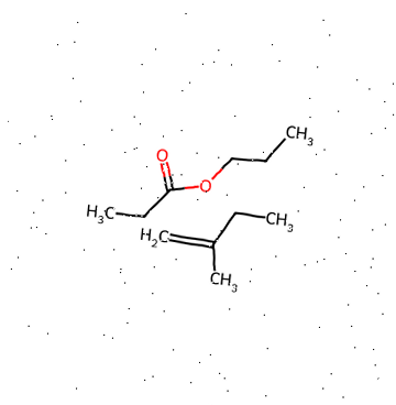 C=C(C)CC.CCCOC(=O)CC